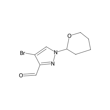 O=Cc1nn(C2CCCCO2)cc1Br